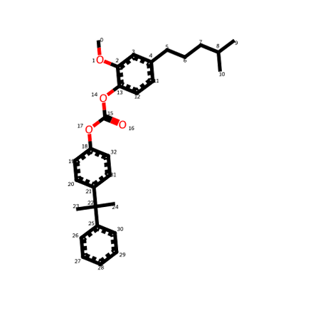 COc1cc(CCCC(C)C)ccc1OC(=O)Oc1ccc(C(C)(C)c2ccccc2)cc1